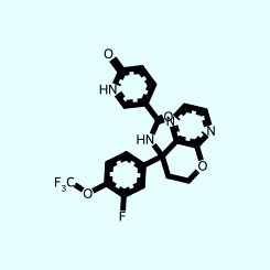 O=C(NC1(c2ccc(OC(F)(F)F)c(F)c2)CCOc2nccnc21)c1ccc(=O)[nH]c1